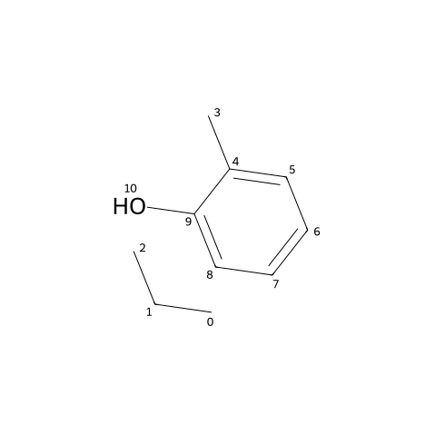 CCC.Cc1ccccc1O